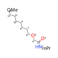 CCCNC(=O)COCCCCCCCOC